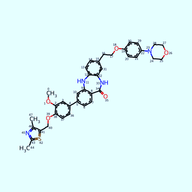 COc1cc(-c2ccc3c(c2)Nc2ccc(CCOc4ccc(N5CCOCC5)cc4)cc2NC3=O)ccc1OCc1sc(C)nc1C